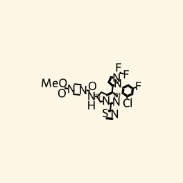 COC(=O)N1CCN(C(=O)N[C@H]2CC3=C(c4ccn(C(F)F)n4)[C@H](c4ccc(F)cc4Cl)N=C(c4nccs4)N3C2)CC1